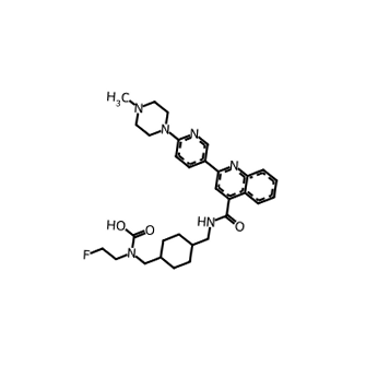 CN1CCN(c2ccc(-c3cc(C(=O)NCC4CCC(CN(CCF)C(=O)O)CC4)c4ccccc4n3)cn2)CC1